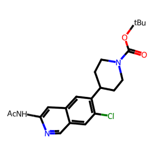 CC(=O)Nc1cc2cc(C3CCN(C(=O)OC(C)(C)C)CC3)c(Cl)cc2cn1